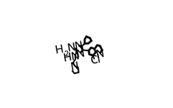 Nc1nc(-c2ccccc2)c(-c2cc(Cl)c3ncccc3c2)nc1NCCN1CCCC1